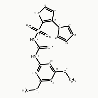 COc1nc(NC(=O)NS(=O)(=O)c2sccc2-n2cccc2)nc(OC)n1